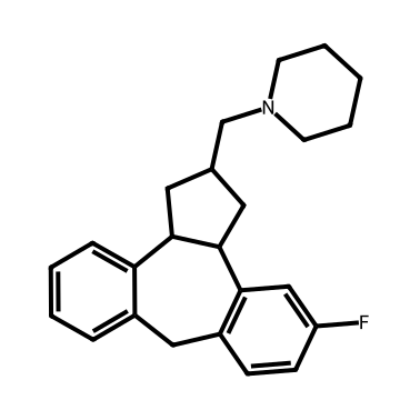 Fc1ccc2c(c1)C1CC(CN3CCCCC3)CC1c1ccccc1C2